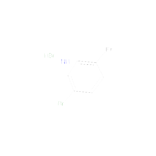 Br.CCc1ccc(Br)cc1.N